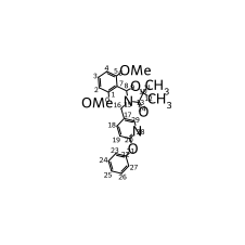 COc1cccc(OC)c1C1OC(C)(C)C(=O)N1Cc1ccc(Oc2ccccc2)nc1